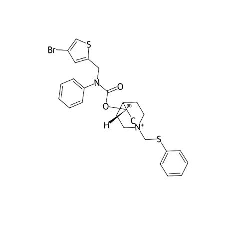 O=C(O[C@H]1C[N+]2(CSc3ccccc3)CCC1CC2)N(Cc1cc(Br)cs1)c1ccccc1